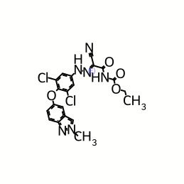 CCOC(=O)NC(=O)/C(C#N)=N/Nc1cc(Cl)c(Oc2ccc3nn(C)cc3c2)c(Cl)c1